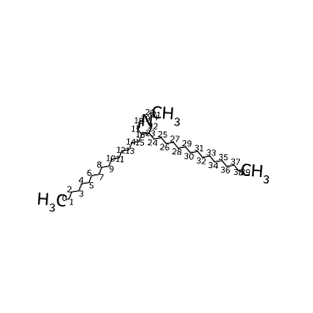 CCCCCCCCCCCCCCCCc1cc[n+](CC)cc1CCCCCCCCCCCCCCCC